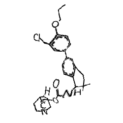 CCCOc1ccc(-c2ccc3c(c2)CC(C)(C)C3NC(=O)O[C@H]2CN3CCC2CC3)cc1Cl